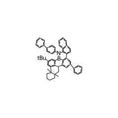 CC(C)(C)c1cc2c3c(c1)C1(C)CCCCC1(C)CC3c1cc(-c3ccccc3)cc3c1B2N(c1ccc(-c2ccccc2)cc1)c1c-3ccc2ccccc12